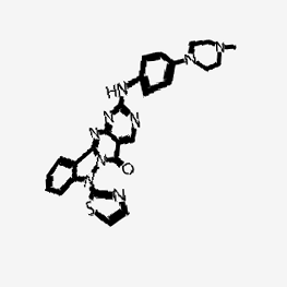 CN1CCN(c2ccc(Nc3ncc4c(=O)n5c(nc4n3)c3ccccc3n5-c3nccs3)cc2)CC1